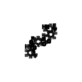 O=c1oc2cc(S(=O)(=O)Nc3cccc(F)n3)c(F)cc2n1Cc1cccc2c1CNCC2(F)F